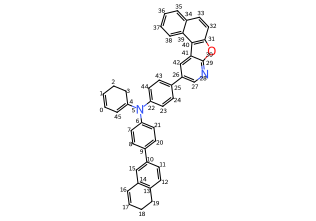 C1=CCCC(N(c2ccc(-c3ccc4c(c3)C=CCC4)cc2)c2ccc(-c3cnc4oc5ccc6ccccc6c5c4c3)cc2)=C1